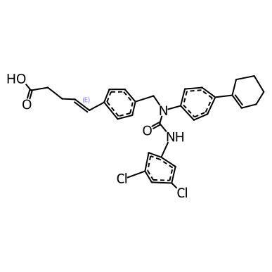 O=C(O)CC/C=C/c1ccc(CN(C(=O)Nc2cc(Cl)cc(Cl)c2)c2ccc(C3=CCCCC3)cc2)cc1